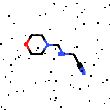 N#CCNCN1CCOCC1